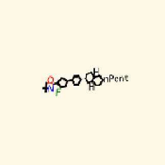 CCCCCC1CC[C@@H]2C[C@H](c3ccc(-c4ccc(C5=NC(C)(C)CO5)c(F)c4)cc3)CC[C@@H]2C1